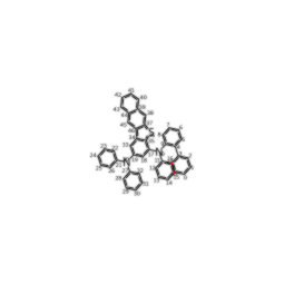 c1ccc(-c2ccccc2N(c2ccccc2)c2cc(N(c3ccccc3)c3ccccc3)cc3c2sc2cc4ccccc4cc23)cc1